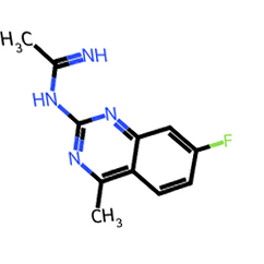 CC(=N)Nc1nc(C)c2ccc(F)cc2n1